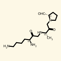 C[C@H](NCC(=O)[C@@H](N)CCCCN)C(=O)CN1CCC[C@H]1C=O